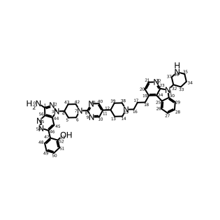 Nc1nn(C2CCN(c3ncc(C4CCN(CCCc5ccnc6c5c5ccccc5n6C5CCCNC5)CC4)cn3)CC2)c2cc(-c3ccccc3O)nnc12